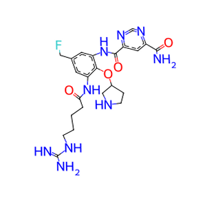 N=C(N)NCCCCC(=O)Nc1cc(CF)cc(NC(=O)c2cc(C(N)=O)ncn2)c1OC1CCNC1